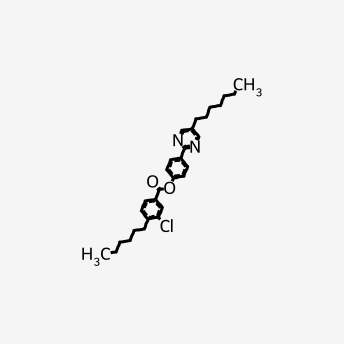 CCCCCCCc1cnc(-c2ccc(OC(=O)c3ccc(CCCCCC)c(Cl)c3)cc2)nc1